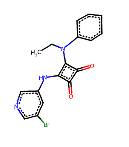 CCN(c1ccccc1)c1c(Nc2cncc(Br)c2)c(=O)c1=O